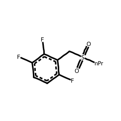 CCCS(=O)(=O)Cc1c(F)ccc(F)c1F